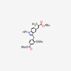 CCCn1cc(Cc2ccc(C(=O)OC)cc2OC)c2cc(/C=C(\C)C(=O)OC(C)(C)C)ccc21